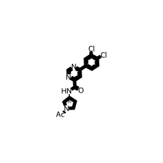 CC(=O)N1CC[C@@H](NC(=O)c2cc(-c3ccc(Cl)c(Cl)c3)ncn2)C1